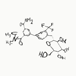 CN(C)C(=O)c1cc(C(N)=O)cc(-c2ccc(C[C@H]3O[C@H](CO)[C@@H](O)[C@H](O)[C@@H]3O)c(C(F)(F)F)c2)c1